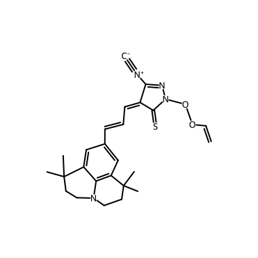 [C-]#[N+]C1=NN(OOC=C)C(=S)/C1=C\C=C\c1cc2c3c(c1)C(C)(C)CCN3CCC2(C)C